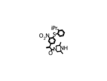 C=C(C(=O)N1CC(C)NC(C)C1)c1ccc(Sc2ccccc2C(C)C)c([N+](=O)[O-])c1